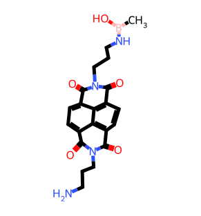 CB(O)NCCCN1C(=O)c2ccc3c4c(ccc(c24)C1=O)C(=O)N(CCCN)C3=O